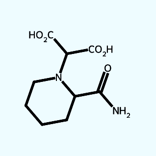 NC(=O)C1CCCCN1C(C(=O)O)C(=O)O